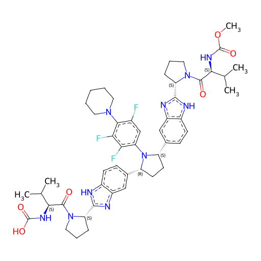 COC(=O)N[C@H](C(=O)N1CCC[C@H]1c1nc2cc([C@@H]3CC[C@H](c4ccc5[nH]c([C@@H]6CCCN6C(=O)[C@@H](NC(=O)O)C(C)C)nc5c4)N3c3cc(F)c(N4CCCCC4)c(F)c3F)ccc2[nH]1)C(C)C